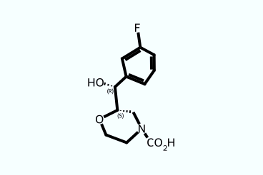 O=C(O)N1CCO[C@H]([C@H](O)c2cccc(F)c2)C1